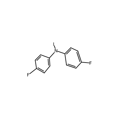 Fc1ccc(N(I)c2ccc(F)cc2)cc1